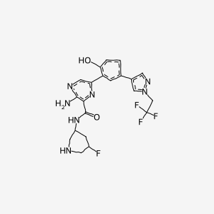 Nc1ncc(-c2cc(-c3cnn(CC(F)(F)F)c3)ccc2O)nc1C(=O)NC1CNCC(F)C1